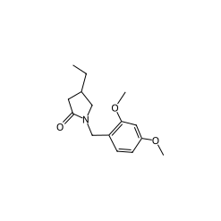 CCC1CC(=O)N(Cc2ccc(OC)cc2OC)C1